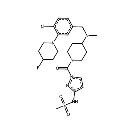 CN(Cc1ccc(Cl)c(N2CCC(F)CC2)c1)C1CCN(C(=O)n2ccc(NS(C)(=O)=O)n2)CC1